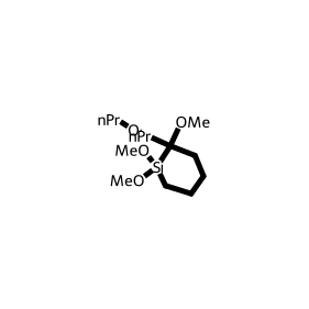 CCCC1(OC)CCCC[Si]1(OC)OC.CCC[O]